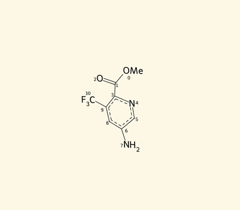 COC(=O)c1ncc(N)cc1C(F)(F)F